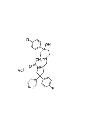 CC(=O)NCC(CCCN1CCC(O)(c2ccc(Cl)cc2)CC1)(c1ccccc1)c1ccc(F)cc1.Cl